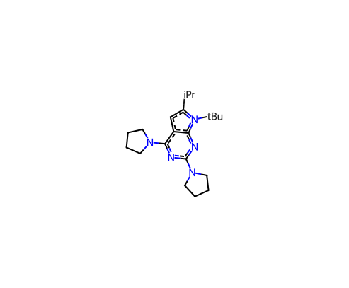 CC(C)c1cc2c(N3CCCC3)nc(N3CCCC3)nc2n1C(C)(C)C